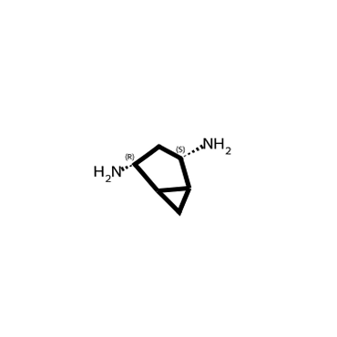 N[C@@H]1C[C@H](N)C2CC21